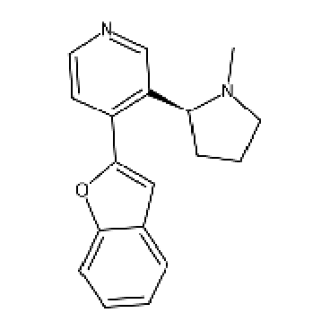 CN1CCC[C@H]1c1cnccc1-c1cc2ccccc2o1